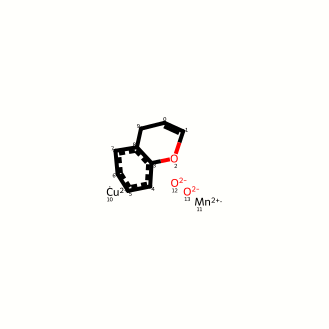 C1=COc2ccccc2C1.[Cu+2].[Mn+2].[O-2].[O-2]